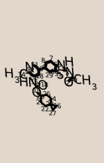 CC(=O)Nc1nc2ccc(-c3cnc(C)c(NC(=O)OC4CCC5(CC4)CC5)c3)cc2s1